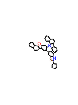 c1ccc(-c2nc3ccc(-c4cc5c(cc4-n4c6ccccc6c6ccc7ccccc7c64)oc4c6ccccc6ccc54)cc3s2)cc1